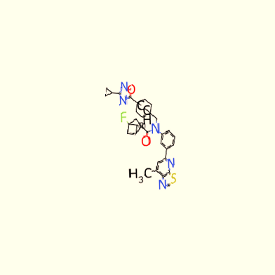 Cc1cc(-c2cccc(N(CC34CCC(c5nc(C6CC6)no5)(CC3)CC4)C(=O)[C@@H]3CC4(F)CC3C4)c2)nc2scnc12